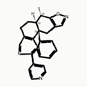 C[C@@H]1c2oncc2C[C@]2(c3ccccc3)c3nc(-c4ccncc4)ncc3CC[C@@H]12